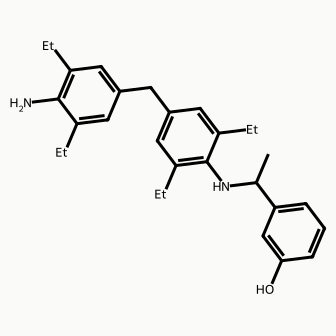 CCc1cc(Cc2cc(CC)c(NC(C)c3cccc(O)c3)c(CC)c2)cc(CC)c1N